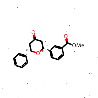 COC(=O)c1cccc([C@H]2CC(=O)C[C@@H](c3ccccc3)O2)c1